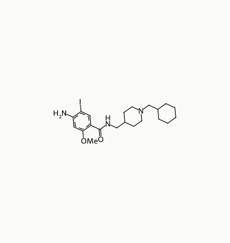 COc1cc(N)c(I)cc1C(=O)NCC1CCN(CC2CCCCC2)CC1